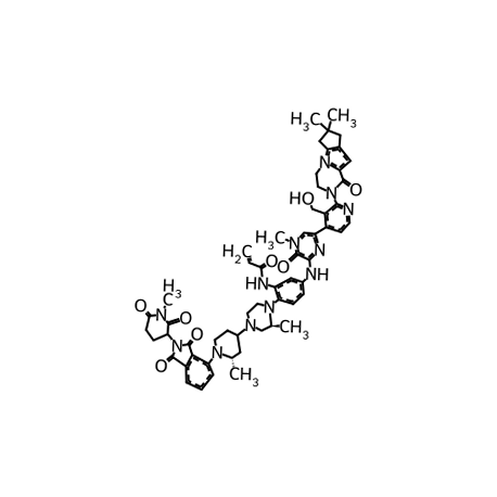 C=CC(=O)Nc1cc(Nc2nc(-c3ccnc(N4CCn5c(cc6c5CC(C)(C)C6)C4=O)c3CO)cn(C)c2=O)ccc1N1CCN(C2CCN(c3cccc4c3C(=O)N(C3CCC(=O)N(C)C3=O)C4=O)[C@@H](C)C2)C[C@@H]1C